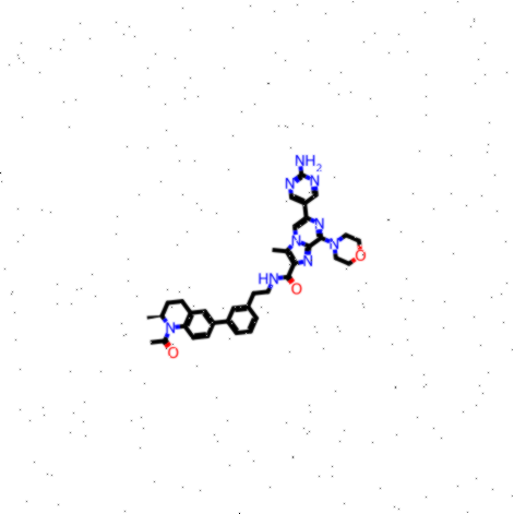 CC(=O)N1c2ccc(-c3cccc(CCNC(=O)c4nc5c(N6CCOCC6)nc(-c6cnc(N)nc6)cn5c4C)c3)cc2CC[C@@H]1C